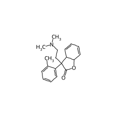 Cc1ccccc1C1(CCN(C)C)C(=O)OC2C=CC=CC21